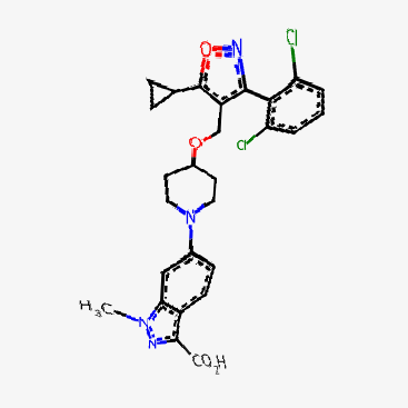 Cn1nc(C(=O)O)c2ccc(N3CCC(OCc4c(-c5c(Cl)cccc5Cl)noc4C4CC4)CC3)cc21